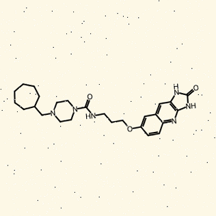 O=C(NCCCOc1ccc2nc3[nH]c(=O)[nH]c3cc2c1)N1CCN(CC2CCCCCC2)CC1